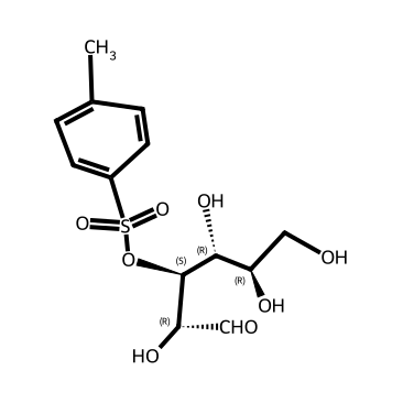 Cc1ccc(S(=O)(=O)O[C@@H]([C@H](O)[C@H](O)CO)[C@@H](O)C=O)cc1